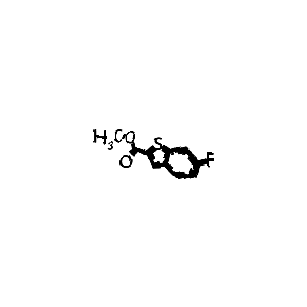 COC(=O)c1cc2ccc(F)cc2s1